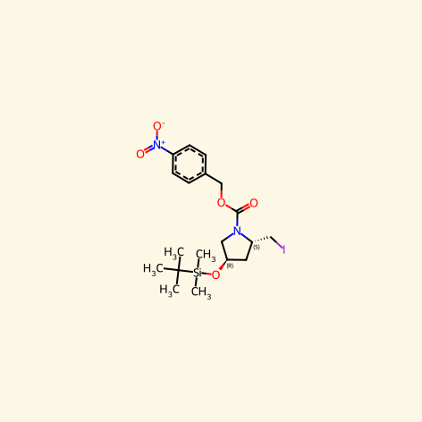 CC(C)(C)[Si](C)(C)O[C@@H]1C[C@@H](CI)N(C(=O)OCc2ccc([N+](=O)[O-])cc2)C1